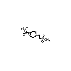 CC(=O)N1CCN(CCS(C)(=O)=O)CC1